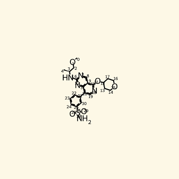 COC[C@H](C)Nc1ncc2c(OC3CCOCC3)ncc(-c3cccc(S(N)(=O)=O)c3)c2n1